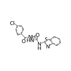 O=C(NNC(=O)c1ccc(Cl)cc1)Nc1nc2ccccc2s1